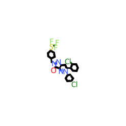 O=c1c2nn(-c3ccc(Cl)cc3)c(-c3ccccc3Cl)cc-2nn1Cc1ccc(SC(F)(F)F)cc1